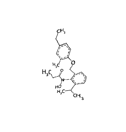 CCC(=O)N(O)c1c(COc2ccc(CC)cc2C)cccc1C(C)C